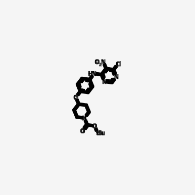 CC(C)(C)OC(=O)N1CCC(Oc2ccc(Nc3ncnc(Cl)c3[N+](=O)[O-])cc2)CC1